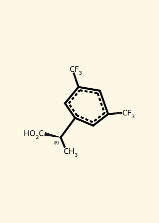 C[C@@H](C(=O)O)c1cc(C(F)(F)F)cc(C(F)(F)F)c1